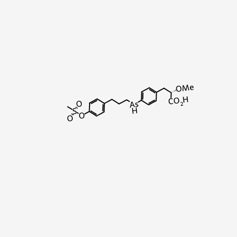 CO[C@@H](Cc1ccc([AsH]CCCc2ccc(OS(C)(=O)=O)cc2)cc1)C(=O)O